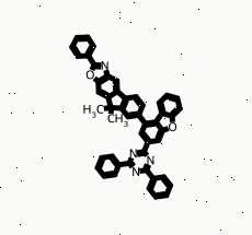 CC1(C)c2cc(-c3cc(-c4nc(-c5ccccc5)nc(-c5ccccc5)n4)cc4oc5ccccc5c34)ccc2-c2cc3nc(-c4ccccc4)oc3cc21